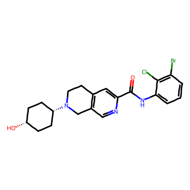 O=C(Nc1cccc(Br)c1Cl)c1cc2c(cn1)CN([C@H]1CC[C@@H](O)CC1)CC2